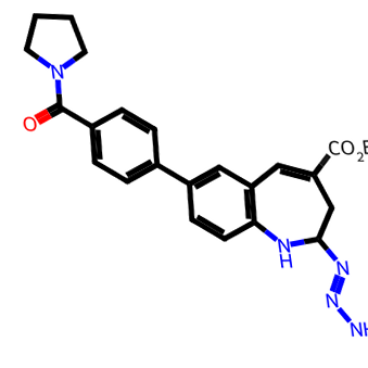 CCOC(=O)C1=Cc2cc(-c3ccc(C(=O)N4CCCC4)cc3)ccc2NC(N=NN)C1